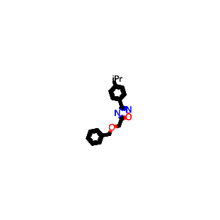 CC(C)c1ccc(-c2noc(COCc3ccccc3)n2)cc1